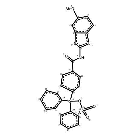 COc1ccc2nc(NC(=O)c3ccc(S(OS(=O)(=O)C(F)(F)F)(c4ccccc4)c4ccccc4)cc3)sc2c1